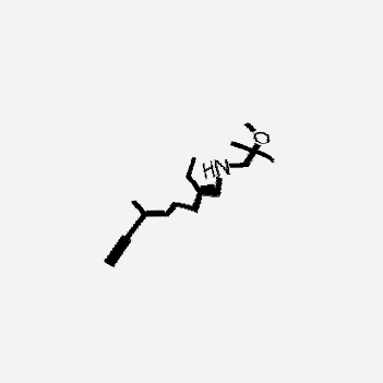 C#C/C(C)=C/CC/C(=C/NCC(C)(C)OC)CC